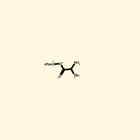 CCCCCOC(=O)C(N)C(C)(C)C